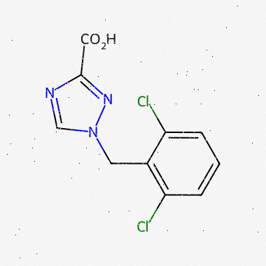 O=C(O)c1ncn(Cc2c(Cl)cccc2Cl)n1